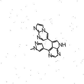 Cn1cc(-c2ncnc3[nH]cc(-c4cnc5nccn5c4)c23)cn1